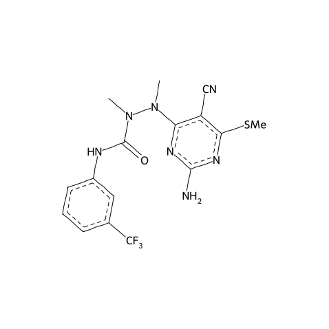 CSc1nc(N)nc(N(C)N(C)C(=O)Nc2cccc(C(F)(F)F)c2)c1C#N